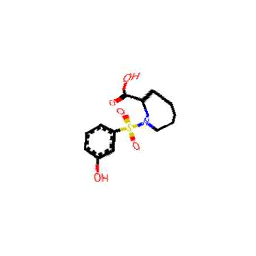 O=C(O)C1CCCCN1S(=O)(=O)c1cccc(O)c1